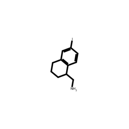 NCC1CCCc2cc(I)ccc21